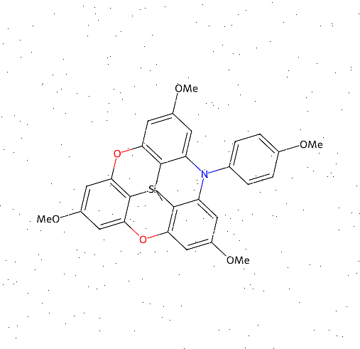 COc1ccc(N2c3cc(OC)cc4c3[Si]3(C)c5c(cc(OC)cc5Oc5cc(OC)cc2c53)O4)cc1